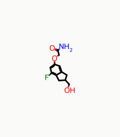 NC(=O)COc1cc(F)c2c(c1)CC(CO)C2